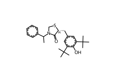 CC(c1ccccc1)N1CS[C@H](Cc2cc(C(C)(C)C)c(O)c(C(C)(C)C)c2)C1=O